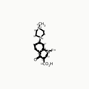 CN1CCN(c2ccc3c(=O)c(C(=O)O)cn(F)c3c2)CC1